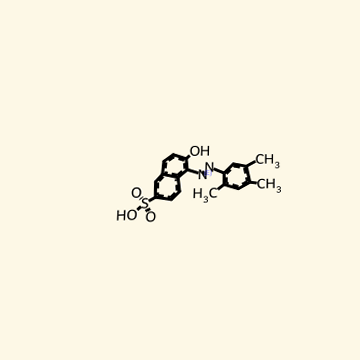 Cc1cc(C)c(/N=N/c2c(O)ccc3cc(S(=O)(=O)O)ccc23)cc1C